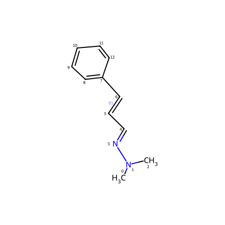 CN(C)N=C/C=C/c1ccccc1